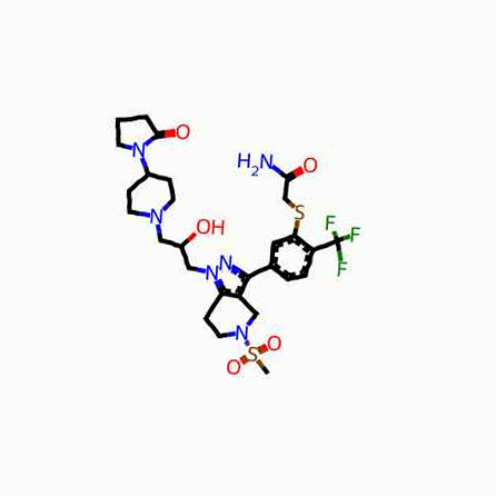 CS(=O)(=O)N1CCc2c(c(-c3ccc(C(F)(F)F)c(SCC(N)=O)c3)nn2CC(O)CN2CCC(N3CCCC3=O)CC2)C1